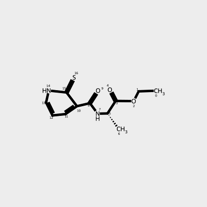 CCOC(=O)[C@H](C)NC(=O)c1ccc[nH]c1=S